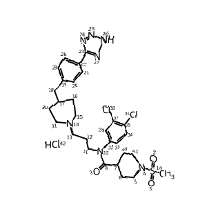 CS(=O)(=O)N1CCC(C(=O)N(CCCN2CCC(Cc3ccc(-c4nn[nH]n4)cc3)CC2)c2ccc(Cl)c(Cl)c2)CC1.Cl